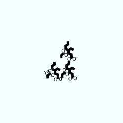 CCCOC(CCC)C(CC)C(=O)CC(=O)[O-].CCCOC(CCC)C(CC)C(=O)CC(=O)[O-].CCCOC(CCC)C(CC)C(=O)CC(=O)[O-].[Y+3]